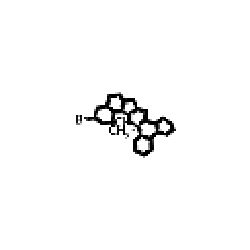 CC1(C)C=C(Br)C=c2ccc3c(c21)-c1cc2c4ccccc4c4ccccc4c2cc1C=3